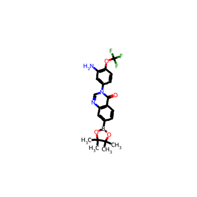 CC1(C)OB(c2ccc3c(=O)n(-c4ccc(OC(F)(F)F)c(N)c4)cnc3c2)OC1(C)C